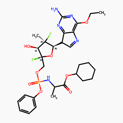 CCOc1nc(N)nc2c1N=CC2[C@H]1O[C@](F)(COP(=O)(NC(C)C(=O)OC2CCCCC2)Oc2ccccc2)[C@@H](O)[C@@]1(C)F